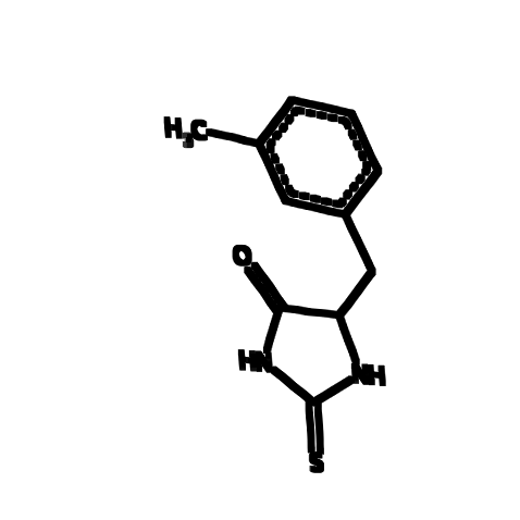 Cc1cccc(CC2NC(=S)NC2=O)c1